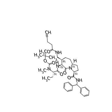 C#CCCC(=O)NC[C@H]1CC[C@H]2CC[C@@H](C(=O)NC(c3ccccc3)c3ccccc3)N2C(=O)[C@H]1NC(=O)[C@H](CC)N(C)C(=O)OC(C)(C)C